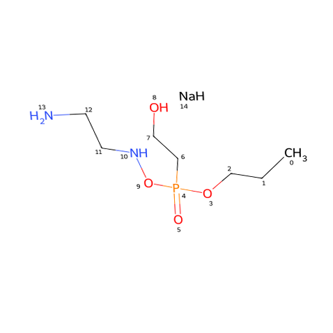 CCCOP(=O)(CCO)ONCCN.[NaH]